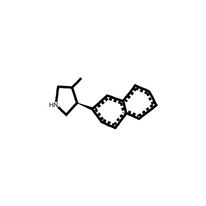 CC1CNC[C@@H]1c1ccc2ccccc2c1